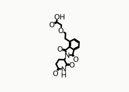 O=C(O)COCCc1cccc2c1C(=O)N(C1CCC(=O)NC1=O)C2=O